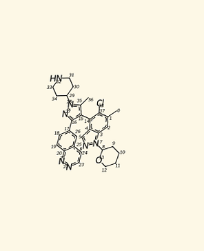 Cc1cc2c(cnn2C2CCCCO2)c(-c2c(-c3ccc4nnccc4c3)nn(C3CCNCC3)c2C)c1Cl